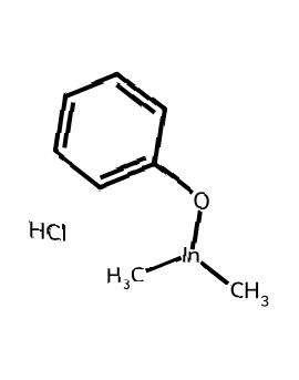 Cl.[CH3][In]([CH3])[O]c1ccccc1